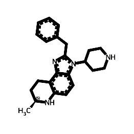 C[C@H]1CCc2c(ccc3c2nc(Cc2ccccc2)n3C2CCNCC2)N1